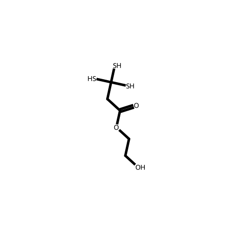 O=C(CC(S)(S)S)OCCO